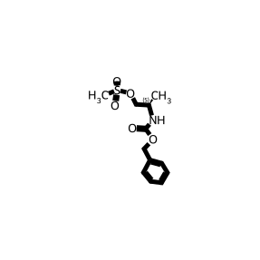 C[C@@H](COS(C)(=O)=O)NC(=O)OCc1ccccc1